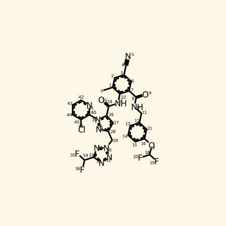 Cc1cc(C#N)cc(C(=O)NCc2cccc(OC(F)F)c2)c1NC(=O)c1cc(Cn2nnc(C(F)F)n2)nn1-c1ncccc1Cl